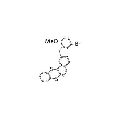 COc1ccc(Br)cc1Cc1ccc2ccc3c(c2c1)Sc1ccccc1S3